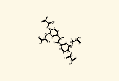 C=C(C)C(=O)Oc1ccc(/C(C)=C(\C)c2ccc(OC(=O)C(=C)C)c(OC(=O)C(=C)C)c2)cc1OC(=O)C(=C)C